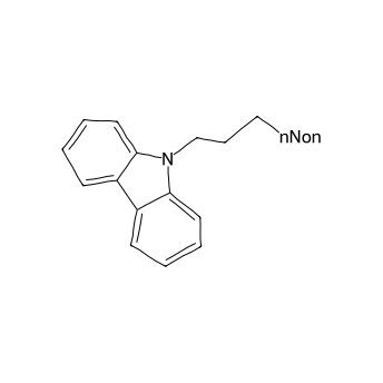 CCCCCCCCCCCCn1c2ccccc2c2ccccc21